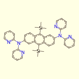 C[Si](C)(C)c1c2ccc(N(c3ccccn3)c3ccccn3)cc2c([Si](C)(C)C)c2ccc(N(c3ccccn3)c3ccccn3)cc12